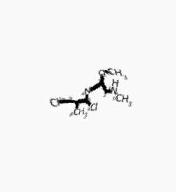 CNC/C(=N\C(Cl)=C(\C)CCl)OC